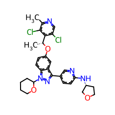 Cc1ncc(Cl)c([C@@H](C)Oc2ccc3c(c2)c(-c2ccc(N[C@@H]4CCOC4)nc2)nn3C2CCCCO2)c1Cl